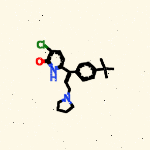 CC(C)(C)c1ccc(/C(=C\CN2CCCC2)c2ccc(Cl)c(=O)[nH]2)cc1